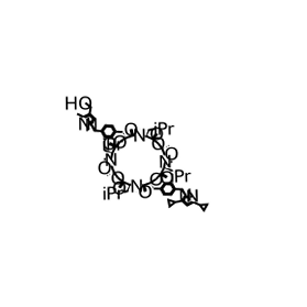 Cc1nn(Cc2ccc(C[C@H]3OC(=O)[C@H](CC(C)C)N(C)C(=O)[C@@H](C)OC(=O)[C@H](CC(C)C)N(C)C(=O)[C@@H](Cc4ccc(Cn5nc(C6CC6)cc5C5CC5)cc4)OC(=O)[C@H](CC(C)C)N(C)C(=O)[C@@H](C)OC(=O)[C@H](CC(C)C)N(C)C3=O)cc2)cc1CO